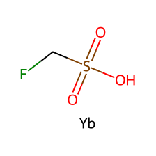 O=S(=O)(O)CF.[Yb]